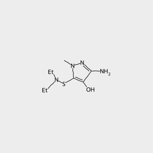 CCN(CC)Sc1c(O)c(N)nn1C